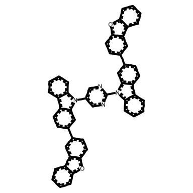 c1ccc2c(c1)oc1ccc(-c3ccc4c5ccccc5n(-c5cnc(-n6c7ccccc7c7ccc(-c8ccc9oc%10ccccc%10c9c8)cc76)nc5)c4c3)cc12